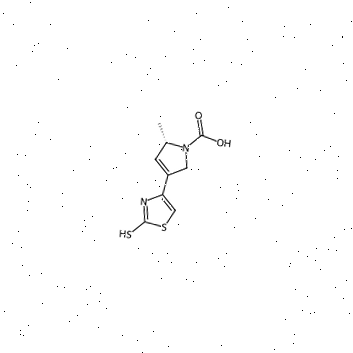 C[C@H]1C=C(c2csc(S)n2)CN1C(=O)O